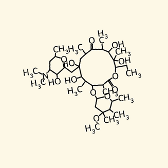 CCC1OC(=O)C(C)C(OC2CC(C)(OC)C(C)C(C)O2)C(C)C(O)C(O)(CC2OC(C)CC(N(C)C)C2O)CC(C)C(=O)C(C)C(O)C1(C)O